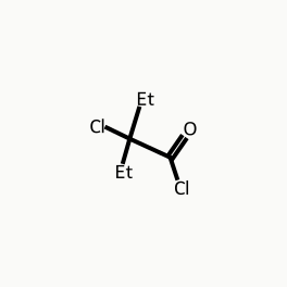 CCC(Cl)(CC)C(=O)Cl